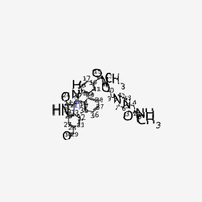 CNC(=O)CN1CCN(CCON(C)C(=O)c2ccc(N/C(=C3\C(=O)Nc4cc(C=O)ccc43)c3ccccc3)cc2)CC1